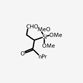 CCCC(=O)C(CC=O)[Si](OC)(OC)OC